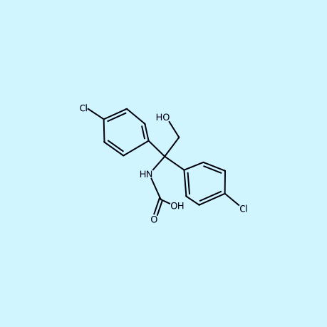 O=C(O)NC(CO)(c1ccc(Cl)cc1)c1ccc(Cl)cc1